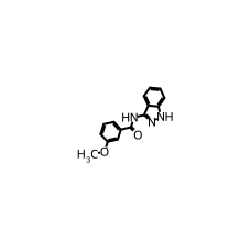 COc1cccc(C(=O)Nc2n[nH]c3ccccc23)c1